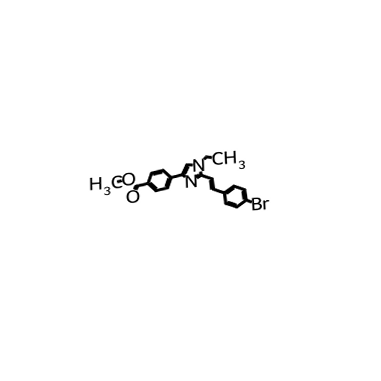 CCn1cc(-c2ccc(C(=O)OC)cc2)nc1C=Cc1ccc(Br)cc1